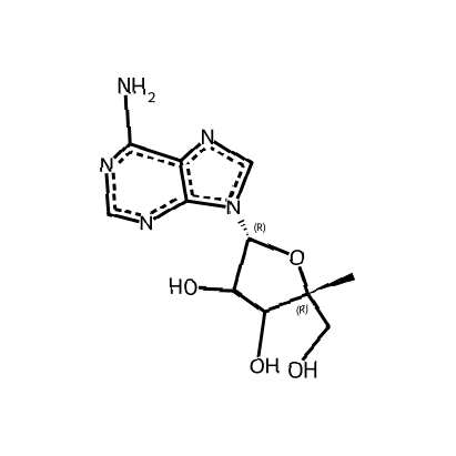 C[C@]1(CO)O[C@@H](n2cnc3c(N)ncnc32)C(O)C1O